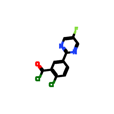 O=C(Cl)c1cc(-c2ncc(F)cn2)ccc1Cl